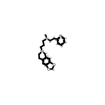 CN(CCCN1CCc2cc3c(cc2C1)OCO3)CCc1ccccn1